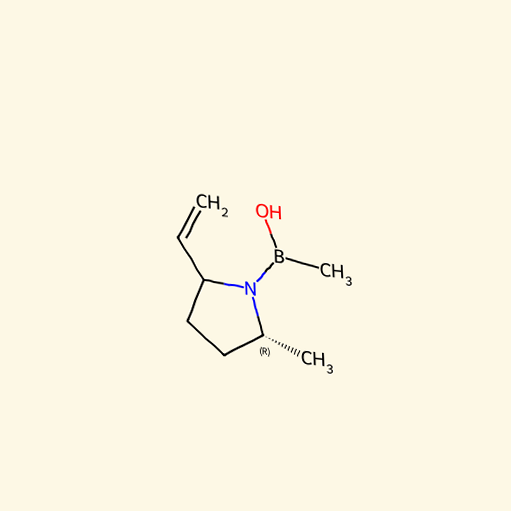 C=CC1CC[C@@H](C)N1B(C)O